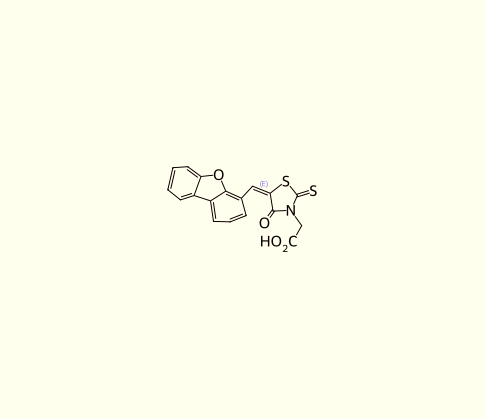 O=C(O)CN1C(=O)/C(=C\c2cccc3c2oc2ccccc23)SC1=S